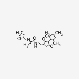 C=C/C(Cl)=C\N=C(/C)C(=O)NCCC1CC(=O)C(c2c(C)cc(C)cc2C)C1=O